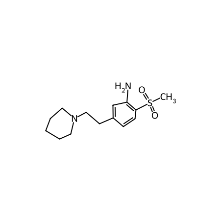 CS(=O)(=O)c1ccc(CCN2CCCCC2)cc1N